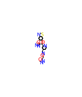 C(=N\OCc1nnco1)/c1ccnc(C(Oc2ccc3ncsc3c2)c2nnco2)c1